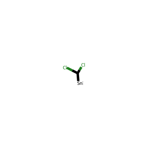 Cl[CH](Cl)[Sn]